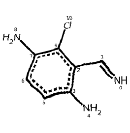 N=Cc1c(N)ccc(N)c1Cl